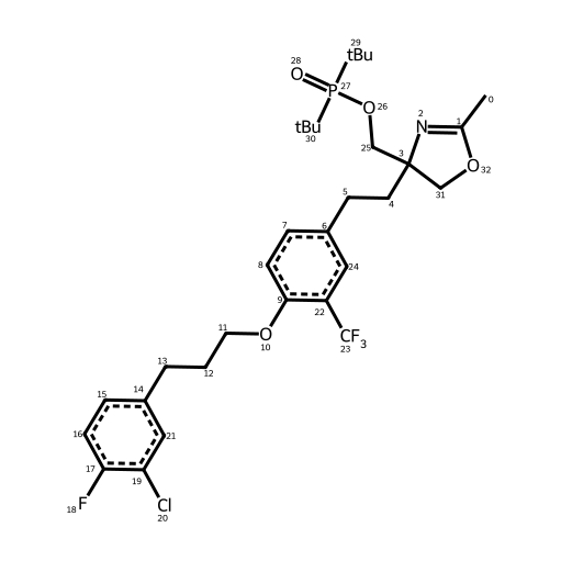 CC1=NC(CCc2ccc(OCCCc3ccc(F)c(Cl)c3)c(C(F)(F)F)c2)(COP(=O)(C(C)(C)C)C(C)(C)C)CO1